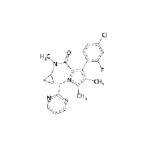 Cc1c(-c2ccc(Cl)cc2F)c(C(=O)N(C)C2CC2)n(Cc2ncccn2)c1C